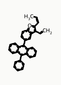 C=Cc1c(/C=C\C)oc2ccc(-c3c4ccccc4c(-c4ccccc4)c4ccccc34)cc12